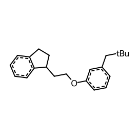 CC(C)(C)Cc1cccc(OCCC2CCc3ccccc32)c1